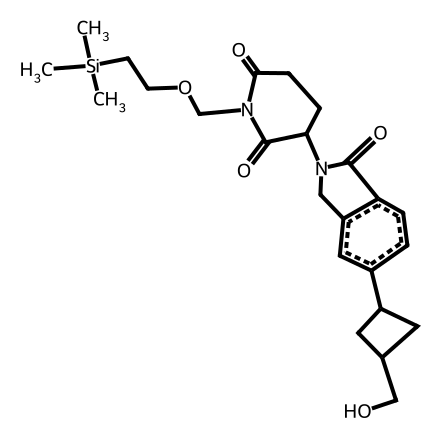 C[Si](C)(C)CCOCN1C(=O)CCC(N2Cc3cc(C4CC(CO)C4)ccc3C2=O)C1=O